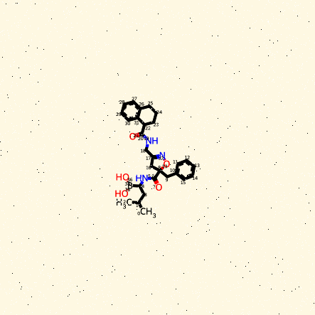 CC(C)CC(NC(=O)C1(Cc2ccccc2)CC(CNC(=O)C2CCCc3ccccc32)=NO1)B(O)O